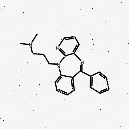 CN(C)CCCN1c2ccccc2C(c2ccccc2)=Nc2cccnc21